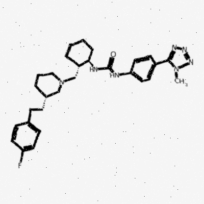 Cn1nnnc1-c1ccc(NC(=O)N[C@@H]2CCCC[C@H]2CN2CCC[C@@H](CCc3ccc(F)cc3)C2)cc1